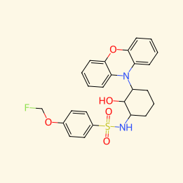 O=S(=O)(NC1CCCC(N2c3ccccc3Oc3ccccc32)C1O)c1ccc(OCF)cc1